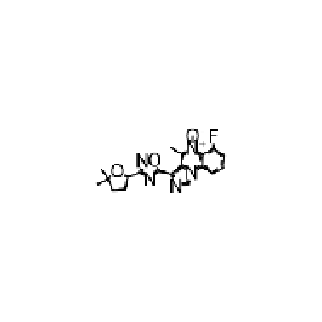 Cc1c2c(-c3nc(C4CCC(C)(C)O4)no3)ncn2c2cccc(F)c2[n+]1[O-]